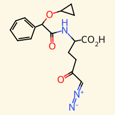 [N-]=[N+]=CC(=O)CCC(NC(=O)C(OC1CC1)c1ccccc1)C(=O)O